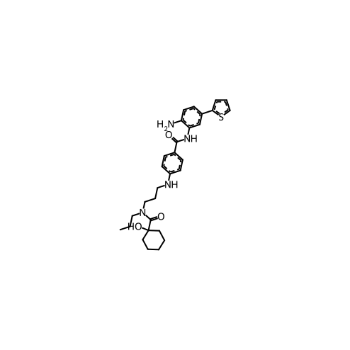 CCCN(CCCNc1ccc(C(=O)Nc2cc(-c3cccs3)ccc2N)cc1)C(=O)C1(O)CCCCC1